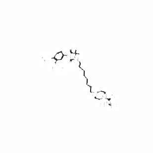 CCNC(=S)N1CCN(CCCCCCCCN2C(=S)N(c3ccc(C#N)c(C(F)(F)F)c3)C(=O)C2(C)C)CC1